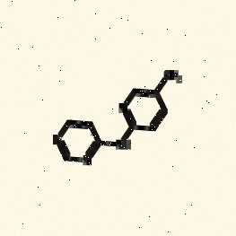 Cc1ccc(Nc2ccncn2)nc1